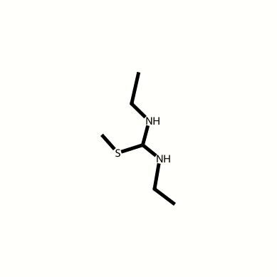 CCNC(NCC)SC